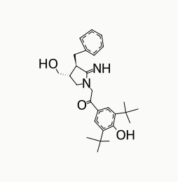 CC(C)(C)c1cc(C(=O)CN2C[C@H](CO)[C@@H](Cc3ccccc3)C2=N)cc(C(C)(C)C)c1O